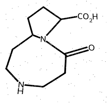 O=C(O)C1CCC2CCNCCC(=O)N21